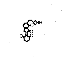 O=C1c2c(ccc3c2OC2(CC3)CNC2)CN1N1C(=O)CCCC1=O